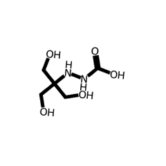 O=C(O)NNC(CO)(CO)CO